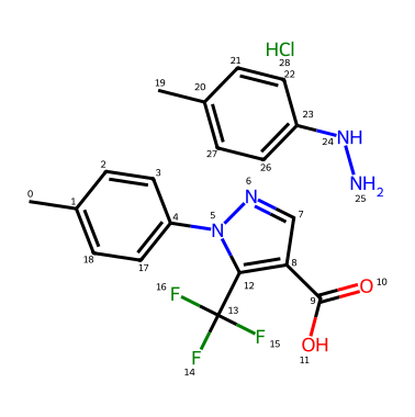 Cc1ccc(-n2ncc(C(=O)O)c2C(F)(F)F)cc1.Cc1ccc(NN)cc1.Cl